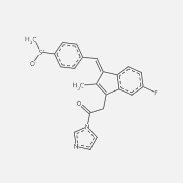 CC1=C(CC(=O)n2ccnc2)c2cc(F)ccc2C1=Cc1ccc([S+](C)[O-])cc1